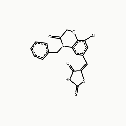 O=C1NC(=S)SC1=Cc1cc(Cl)c2c(c1)N(Cc1ccccc1)C(=O)CO2